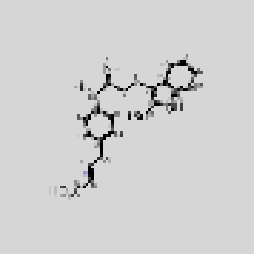 CC[C@H](C(=N)CCc1c(C(C)(C)C)[nH]c2ncccc12)c1ccc(C/C=C/C(=O)O)cc1